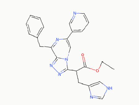 CCOC(=O)C(Cc1c[nH]cn1)c1nnc2c(Cc3ccccc3)nc(-c3cccnc3)cn12